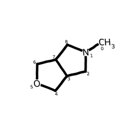 CN1CC2COCC2C1